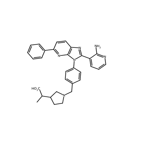 CC(C(=O)O)C1CCN(Cc2ccc(-n3c(-c4cccnc4N)nc4ccc(-c5ccccc5)nc43)cc2)C1